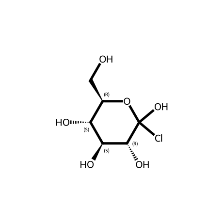 OC[C@H]1OC(O)(Cl)[C@H](O)[C@@H](O)[C@@H]1O